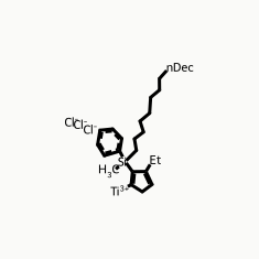 CCCCCCCCCCCCCCCCCC[Si](C)(C1=[C]([Ti+3])CC=C1CC)c1ccccc1.[Cl-].[Cl-].[Cl-]